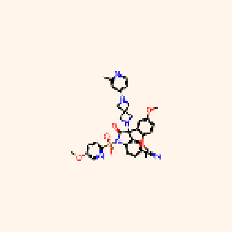 CCOc1ccc(OC)cc1C1(N2CC3(CN(c4ccnc(C)c4)C3)C2)C(=O)N(S(=O)(=O)c2ccc(OC)cn2)c2ccc(C#N)cc21